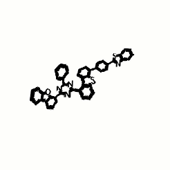 c1ccc(-c2nc(-c3cccc4c3oc3ccccc34)nc(-c3cccc4sc5c(-c6ccc(-c7nc8ccccc8s7)cc6)cccc5c34)n2)cc1